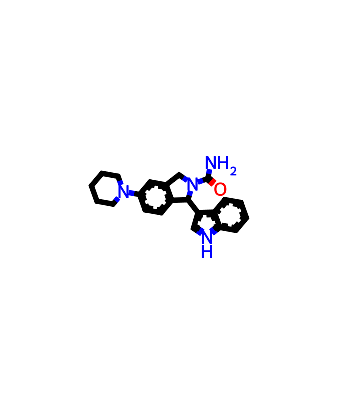 NC(=O)N1Cc2cc(N3CCCCC3)ccc2C1c1c[nH]c2ccccc12